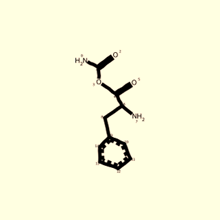 NC(=O)OC(=O)C(N)Cc1ccccc1